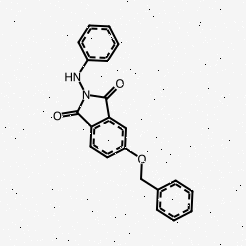 O=C1c2ccc(OCc3ccccc3)cc2C(=O)N1Nc1ccccc1